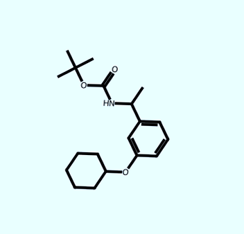 CC(NC(=O)OC(C)(C)C)c1cccc(OC2CCCCC2)c1